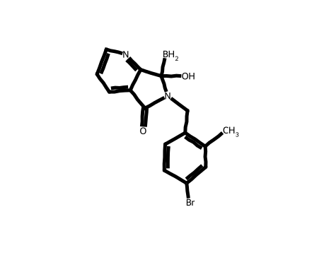 BC1(O)c2ncccc2C(=O)N1Cc1ccc(Br)cc1C